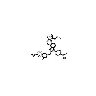 COC(=O)N1c2ccc3c(nc(Cc4ccc(OC(C)C)c(F)c4)n3C3CCC(C(=O)O)CC3)c2CC[C@@H]1C